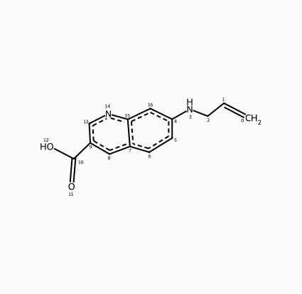 C=CCNc1ccc2cc(C(=O)O)cnc2c1